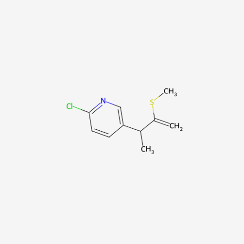 C=C(SC)C(C)c1ccc(Cl)nc1